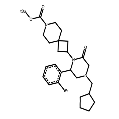 CC(C)c1ccccc1C1CN(CC2CCCC2)CC(=O)N1C1CC2(CCN(C(=O)OC(C)(C)C)CC2)C1